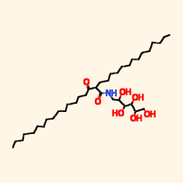 CCCCCCCCCCCCCCCC(=O)C(CCCCCCCCCCCCCC)C(=O)NCC(O)C(O)C(O)C(O)CO